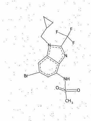 CS(=O)(=O)Nc1cc(Br)cc2c1nc(C(F)(F)F)n2CC1CC1